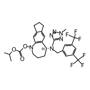 CC(C)OC(=O)ON1CCC[C@@H](N(Cc2cc(C(F)(F)F)cc(C(F)(F)F)c2)c2nnn(C)n2)c2cc3c(cc21)CCC3